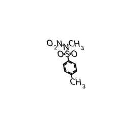 Cc1ccc(S(=O)(=O)N(C)[N+](=O)[O-])cc1